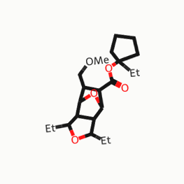 CCC1OC(CC)C2C3OC(C(COC)C3C(=O)OC3(CC)CCCC3)C12